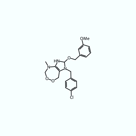 COc1cccc(COC2NC3=C(COOCN3C)N2Cc2ccc(Cl)cc2)c1